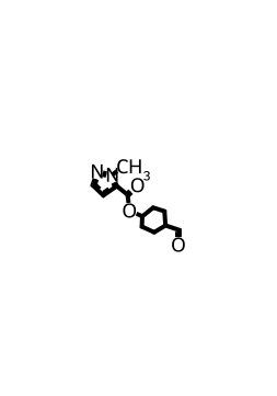 Cn1nccc1C(=O)OC1CCC(C=O)CC1